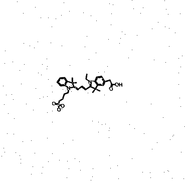 CC[N+]1=C(/C=C/C=C2/N(CCCCS(=O)(=O)[O-])c3ccccc3C2(C)C)C(C)(C)c2cc(CC(=O)O)ccc21